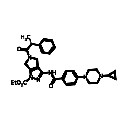 CCOC(=O)n1nc(NC(=O)c2ccc(N3CCN(C4CC4)CC3)cc2)c2c1CN(C(=O)[C@H](C)c1ccccc1)C2